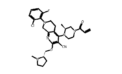 C=CC(=O)N1CCN(c2c(C#N)c(OC[C@@H]3CCCN3C)nc3c2CCN(c2c(F)cccc2Cl)C3)[C@@H](C)C1